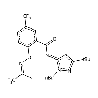 CCCCn1nc(C(C)(C)C)sc1=NC(=O)c1cc(C(F)(F)F)ccc1ON=C(C)C(F)(F)F